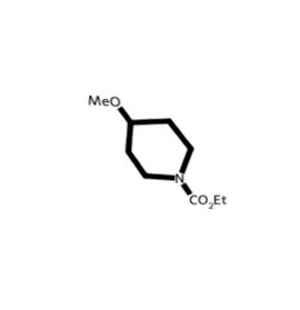 [CH2]OC1CCN(C(=O)OCC)CC1